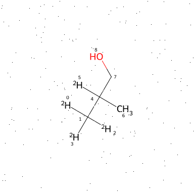 [2H]C([2H])([2H])C([2H])(C)CO